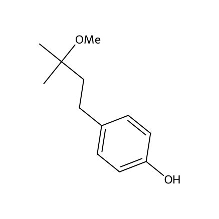 COC(C)(C)CCc1ccc(O)cc1